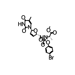 COC(=O)[C@H](C)NP(=O)(OC[C@@H]1C=C[C@H](n2cc(C)c(=O)[nH]c2=O)O1)Oc1ccc(Br)cc1